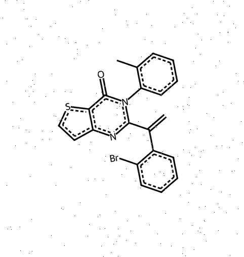 C=C(c1ccccc1Br)c1nc2ccsc2c(=O)n1-c1ccccc1C